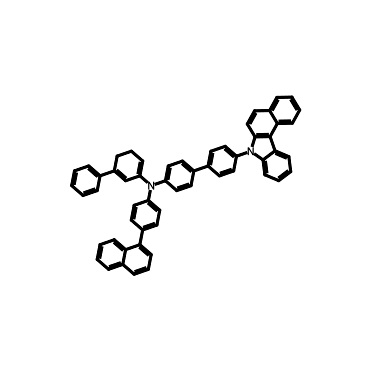 C1=C(c2ccccc2)CCC=C1N(c1ccc(-c2ccc(-n3c4ccccc4c4c5ccccc5ccc43)cc2)cc1)c1ccc(-c2cccc3ccccc23)cc1